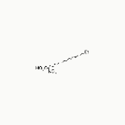 CCC=CCC=CCC=CCC=CCCCCCC(C(=O)O)[N+](=O)[O-]